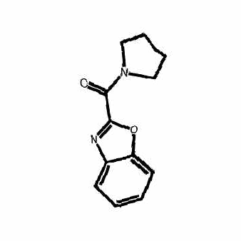 O=C(c1nc2ccccc2o1)N1CCCC1